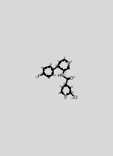 O=C(Nc1cnccc1-c1ccc(F)cc1)c1ccnc(Cl)c1